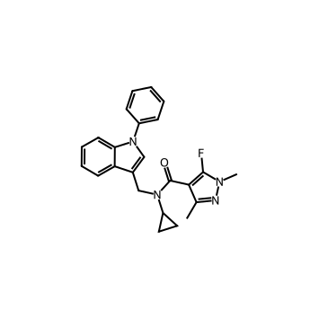 Cc1nn(C)c(F)c1C(=O)N(Cc1cn(-c2ccccc2)c2ccccc12)C1CC1